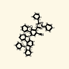 N#Cc1cc(-n2c3ccccc3c3c2ccc2c4ccccc4n(-c4ccccc4)c23)c2c(oc3ccccc32)c1-c1nc(-c2ccccc2)nc(-c2ccccc2)n1